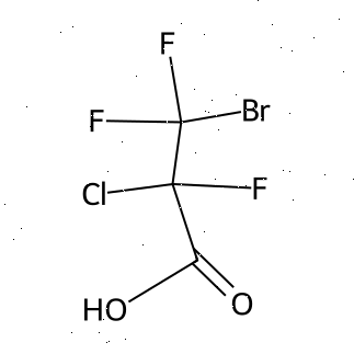 O=C(O)C(F)(Cl)C(F)(F)Br